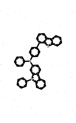 c1ccc(N(c2ccc(-c3cccc4c3sc3ccccc34)cc2)c2ccc3c4ccccc4n(-c4ccccc4)c3c2)cc1